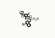 O=C(NC(Cc1ccc(Br)c2ccccc12)C(=O)O)c1c(F)cc(N2CCOC[C@@H]2C(F)(F)F)cc1F